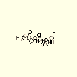 COc1cc2nccc(Oc3ncc(NC(=O)C4(C(=O)Nc5ccc(F)cc5)CC4)cc3Cl)c2cc1C=O